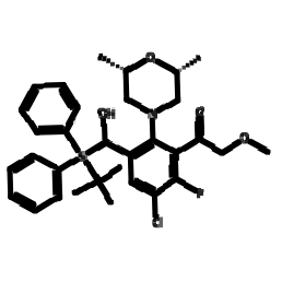 COCC(=O)c1c(F)c(Cl)cc(C(O)[Si](c2ccccc2)(c2ccccc2)C(C)(C)C)c1N1C[C@@H](C)O[C@@H](C)C1